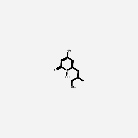 CCCc1cc(CC(C)CC(C)(C)C)n(O)c(=O)c1